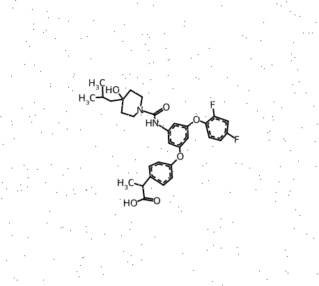 CC(C)CC1(O)CCN(C(=O)Nc2cc(Oc3ccc(C(C)C(=O)O)cc3)cc(Oc3ccc(F)cc3F)c2)CC1